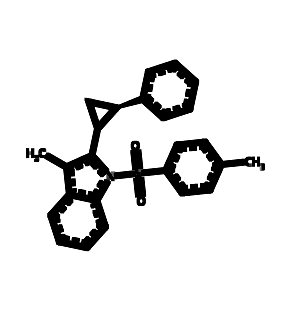 Cc1ccc(S(=O)(=O)n2c(C3C[C@H]3c3ccccc3)c(C)c3ccccc32)cc1